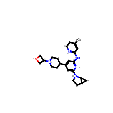 N#CC1=CC(Nc2cc(C3CCN(C4COC4)CC3)cc(N3CCC4CC43)n2)=NCC1